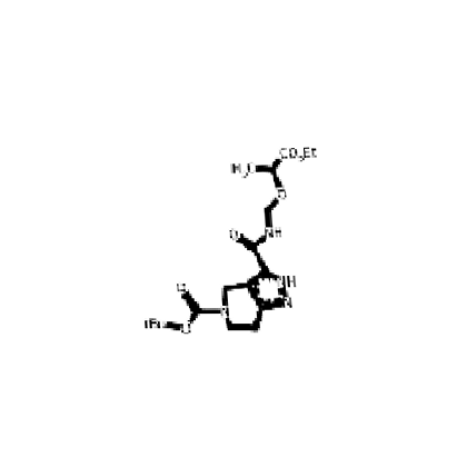 CCOC(=O)C(C)OCNC(=O)c1[nH]nc2c1CN(C(=O)OC(C)(C)C)CC2